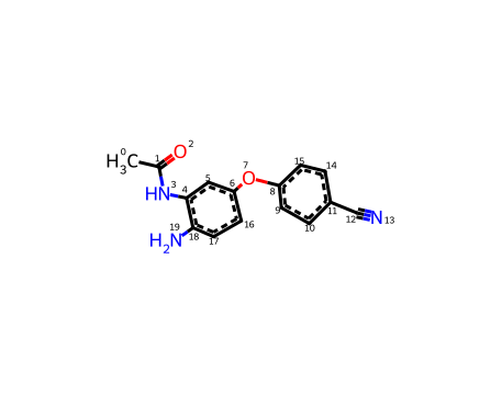 CC(=O)Nc1cc(Oc2ccc(C#N)cc2)ccc1N